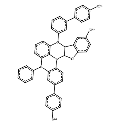 CC(C)(C)c1ccc(-c2cccc(N3c4cccc5c4B(c4ccc(-c6ccc(C(C)(C)C)cc6)cc4N5c4ccccc4)C4Oc5ccc(C(C)(C)C)cc5C43)c2)cc1